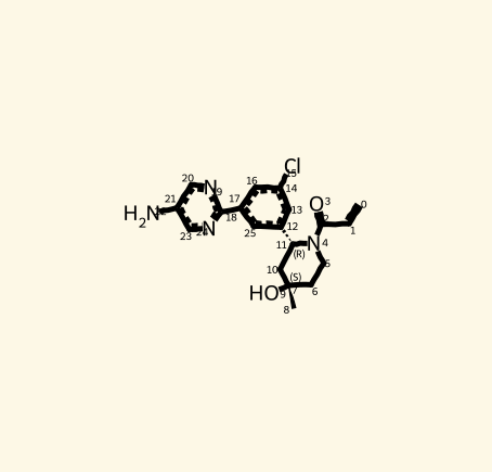 C=CC(=O)N1CC[C@](C)(O)C[C@@H]1c1cc(Cl)cc(-c2ncc(N)cn2)c1